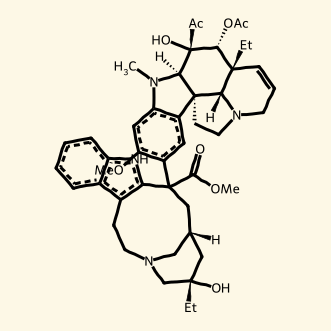 CC[C@]1(O)C[C@@H]2CN(CCc3c([nH]c4ccccc34)C(C(=O)OC)(c3cc4c(cc3OC)N(C)[C@H]3[C@@](O)(C(C)=O)[C@H](OC(C)=O)[C@]5(CC)C=CCN6CC[C@]43[C@@H]65)C2)C1